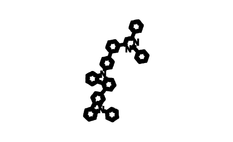 c1ccc(-c2cc(-c3cccc(-c4ccc(-n5c6ccccc6c6c(-c7ccc8c9ccccc9n(-c9ccccc9)c8c7)cccc65)cc4)c3)nc(-c3ccccc3)n2)cc1